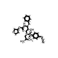 CC(C)CN(C[C@@H](O)[C@H](Cc1ccccc1)NC(=O)OC1CCOC1)S(=O)(=O)c1ccc(N=[N+]=[N-])cc1